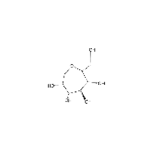 OCC1OC[C@@H](O)C(O)[C@H](O)[C@H]1O